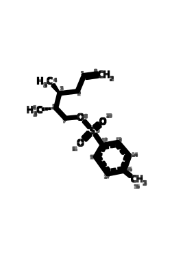 C=CC[C@H](C)[C@@H](C)COS(=O)(=O)c1ccc(C)cc1